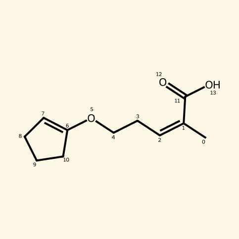 CC(=CCCOC1=CCCC1)C(=O)O